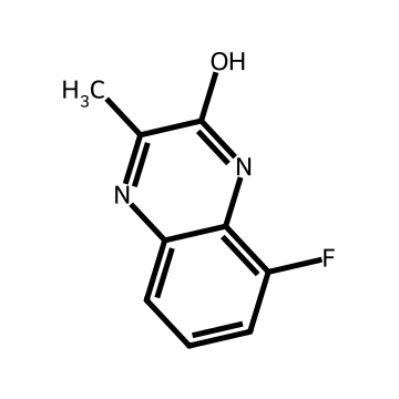 Cc1nc2cccc(F)c2nc1O